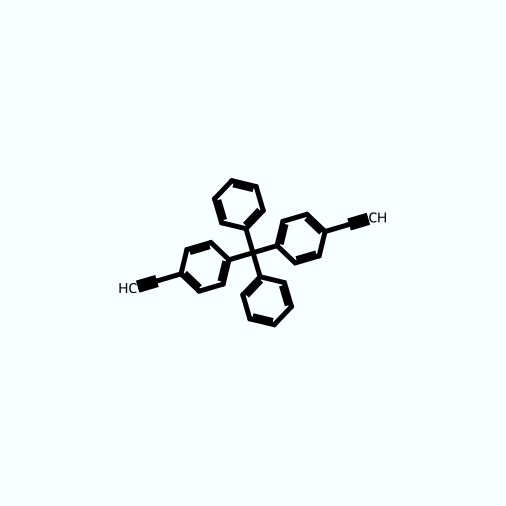 C#Cc1ccc(C(c2ccccc2)(c2ccccc2)c2ccc(C#C)cc2)cc1